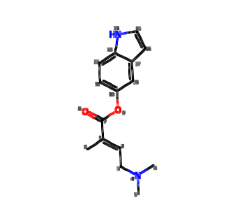 CC(=CCN(C)C)C(=O)Oc1ccc2[nH]ccc2c1